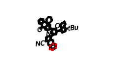 CC(C)(C)c1ccc2c3cc4c5c6c(c(C#N)cc5n5c7cc8c(cc7c(c3oc3cccc1c32)c45)C1(CCCCC1)c1ccccc1C8=O)C1c2ccccc2C6c2ccccc21